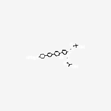 C=C(CO)C(=O)OCOc1cc(-c2ccc(-c3ccc(C4CCC(CCCCCCC)CC4)cc3)cc2CC)ccc1OCOC(=O)C(C)(C)CO